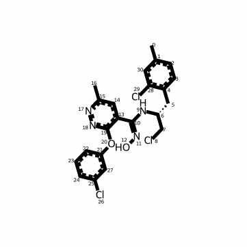 Cc1ccc(C[C@H](CCl)NC(=NO)c2cc(C)nnc2Oc2cccc(Cl)c2)c(Cl)c1